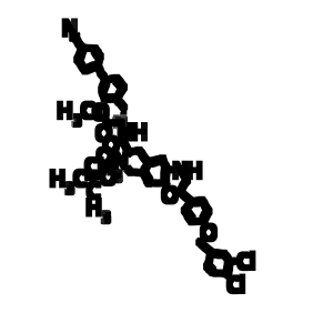 COC(=O)[C@H](Cc1ccc(-c2ccc(C#N)cc2)cc1)NC(=O)C1Cc2cc3c(cc2CN1C(=O)OC(C)(C)C)OC(c1ccc(OCc2ccc(Cl)c(Cl)c2)cc1)CN3